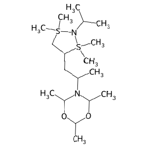 CC1OC(C)N(C(C)CC2CS(C)(C)N(C(C)C)S2(C)C)C(C)O1